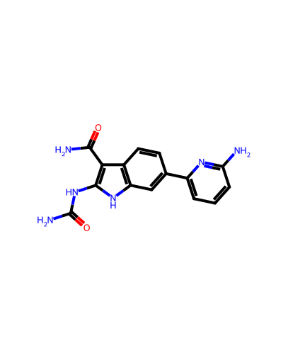 NC(=O)Nc1[nH]c2cc(-c3cccc(N)n3)ccc2c1C(N)=O